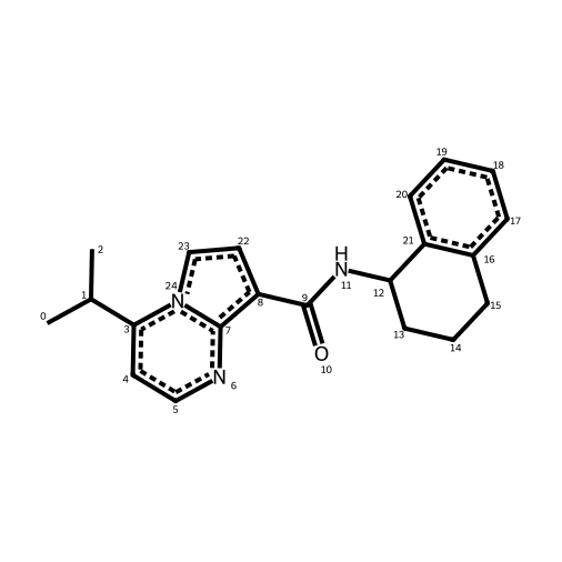 CC(C)c1ccnc2c(C(=O)NC3CCCc4ccccc43)ccn12